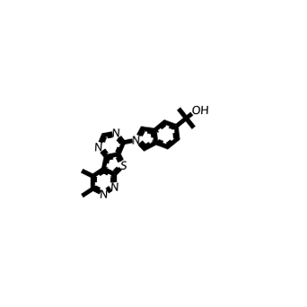 Cc1nnc2sc3c(-n4cc5ccc(C(C)(C)O)cc5c4)ncnc3c2c1C